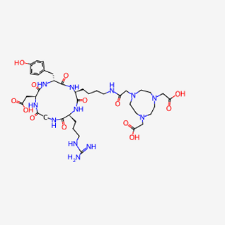 N=C(N)NCCC[C@@H]1NC(=O)[C@H](CCCCNC(=O)CN2CCN(CC(=O)O)CCN(CC(=O)O)CC2)NC(=O)[C@@H](Cc2ccc(O)cc2)NC(=O)[C@H](CC(=O)O)NC(=O)CNC1=O